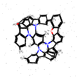 Cc1ccc2c3ccc(C)cc3n(-c3c(C#N)c(-n4c5cc(C)ccc5c5ccc(C)cc54)c(-n4c5ccccc5c5ccc6c7ccccc7oc6c54)c(C#N)c3-n3c4cc(C)ccc4c4ccc(C)cc43)c2c1